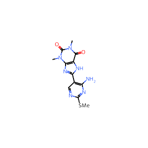 CSc1ncc(-c2nc3c([nH]2)c(=O)n(C)c(=O)n3C)c(N)n1